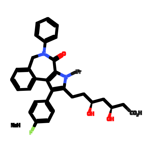 CC(C)n1c(CC[C@@H](O)C[C@@H](O)CC(=O)O)c(-c2ccc(F)cc2)c2c1C(=O)N(c1ccccc1)Cc1ccccc1-2.[NaH]